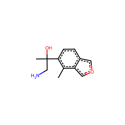 Cc1c(C(C)(O)CN)ccc2cocc12